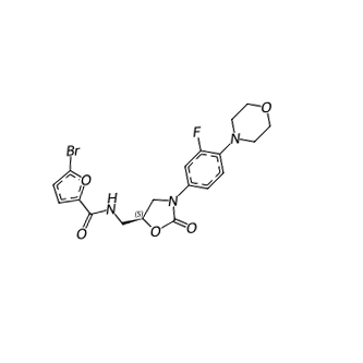 O=C(NC[C@H]1CN(c2ccc(N3CCOCC3)c(F)c2)C(=O)O1)c1ccc(Br)o1